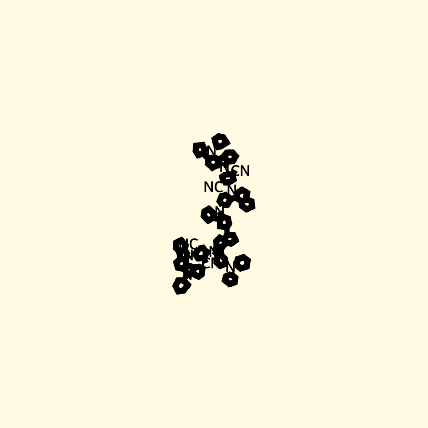 N#Cc1cc(-n2c3ccccc3c3c2ccc2c4ccccc4n(-c4ccccc4)c23)c(C#N)cc1-n1c2ccc(-n3c4ccccc4c4cc(-c5cccc6c5ccc5c6c6cc(N(c7ccccc7)c7ccccc7)ccc6n5-c5cc(C#N)c(-n6c7ccccc7c7ccc8c(c9ccccc9n8-c8ccccc8)c76)cc5C#N)ccc43)cc2c2c3ccccc3ccc21